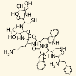 CC(O)C(CO)NC(=O)[C@H](CS)NC(=O)[C@@H](NC(=O)[C@H](CCCCN)NC(=O)[C@@H](Cc1c[nH]c2ccccc12)NC(=O)[C@H](Cc1ccccc1)NC(=O)[C@H](CS)NC(=O)[C@H](N)Cc1ccccc1)[C@@H](C)O